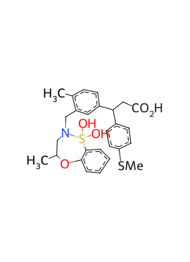 CSc1ccc(C(CC(=O)O)c2ccc(C)c(CN3CC(C)Oc4ccccc4S3(O)O)c2)cc1